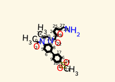 CC(=O)N1c2ccc(-c3ccc(S(C)(=O)=O)cc3)cc2N(C(=O)c2ccc(CN)o2)C[C@@H]1C